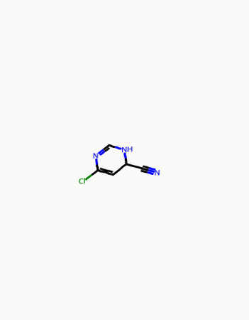 N#CC1C=C(Cl)N=CN1